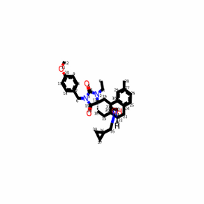 CCN1C(=O)N(Cc2ccc(OC)cc2)C(=O)[C@@]12CC[C@@]1(O)[C@H]3Cc4ccc(C)cc4[C@@]1(CCN3CC1CC1)C2